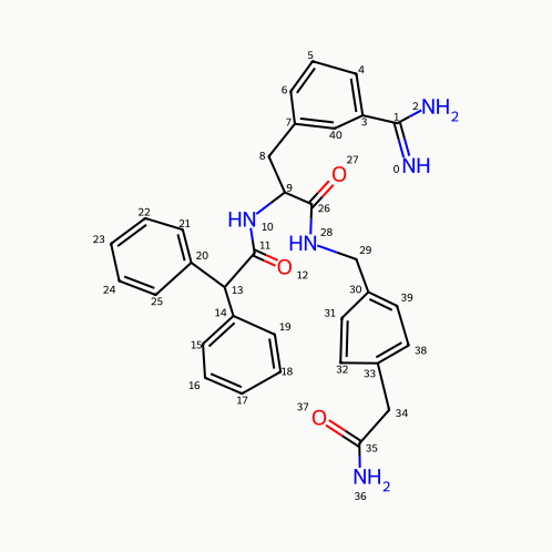 N=C(N)c1cccc(CC(NC(=O)C(c2ccccc2)c2ccccc2)C(=O)NCc2ccc(CC(N)=O)cc2)c1